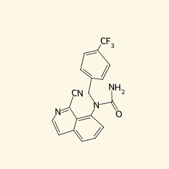 N#Cc1nccc2cccc(N(Cc3ccc(C(F)(F)F)cc3)C(N)=O)c12